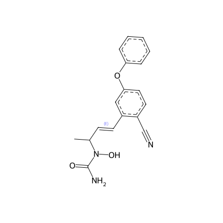 CC(/C=C/c1cc(Oc2ccccc2)ccc1C#N)N(O)C(N)=O